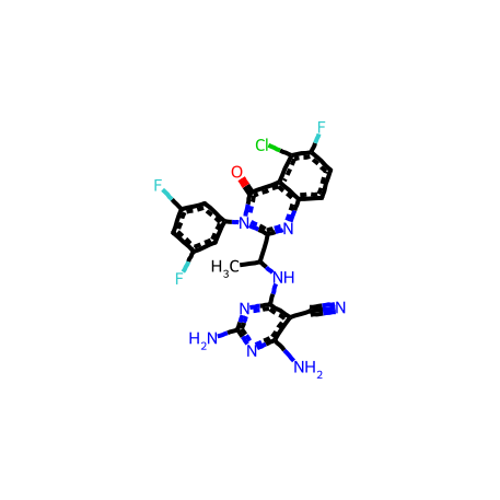 CC(Nc1nc(N)nc(N)c1C#N)c1nc2ccc(F)c(Cl)c2c(=O)n1-c1cc(F)cc(F)c1